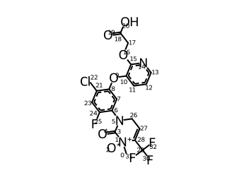 C[N+]1([O-])C(=O)N(c2cc(Oc3cccnc3OCC(=O)O)c(Cl)cc2F)CC=C1C(F)(F)F